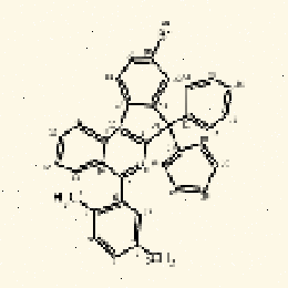 Cc1ccc(C)c(-c2cc3c(c4ccccc24)-c2ccc(Br)cc2C3(c2ccccc2)c2ccccc2)c1